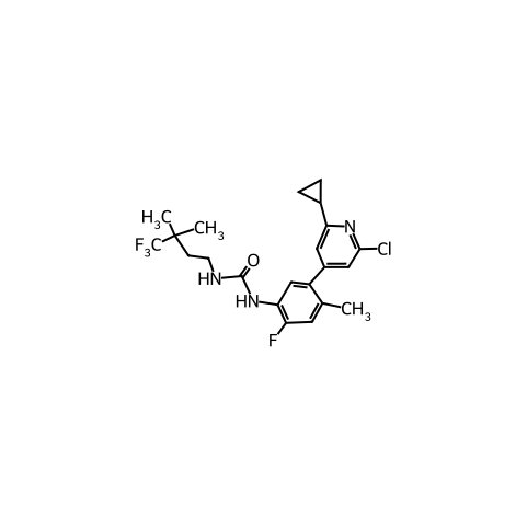 Cc1cc(F)c(NC(=O)NCCC(C)(C)C(F)(F)F)cc1-c1cc(Cl)nc(C2CC2)c1